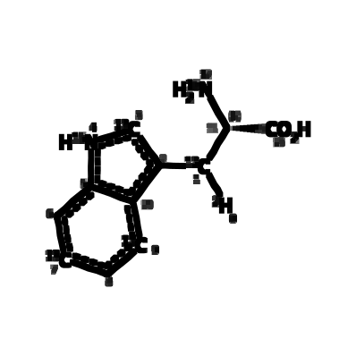 [2H][13CH](c1[13cH][15nH]c2c[13cH]c[13cH]c12)[C@H]([15NH2])C(=O)O